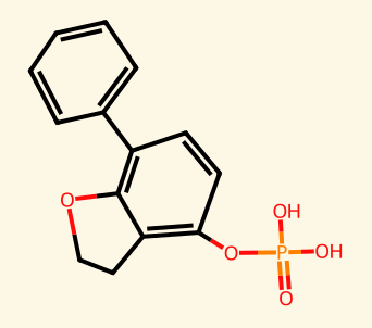 O=P(O)(O)Oc1ccc(-c2ccccc2)c2c1CCO2